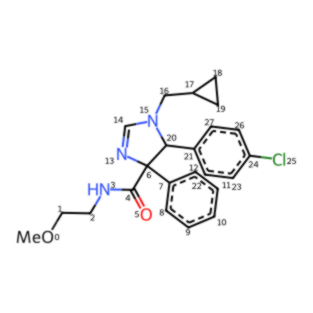 COCCNC(=O)C1(c2ccccc2)N=CN(CC2CC2)C1c1ccc(Cl)cc1